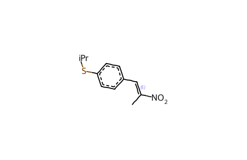 C/C(=C\c1ccc(SC(C)C)cc1)[N+](=O)[O-]